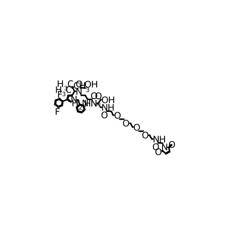 CC(C)(C)C(c1cc(-c2cc(F)ccc2F)cn1Cc1ccccc1)N(CCC(N)C(=O)N[C@H](CNC(=O)CCOCCOCCOCCOCCNC(=O)CN1C(=O)C=CC1=O)C(=O)O)C(=O)CO